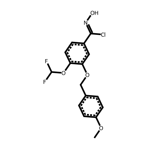 COc1ccc(COc2cc(/C(Cl)=N/O)ccc2OC(F)F)cc1